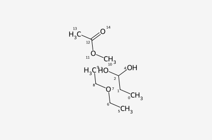 CCC(O)O.CCOCC.COC(C)=O